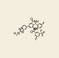 Nc1nc2cc(-c3cc(NC(=O)c4cc(F)cc(C(F)(F)F)c4)c4c(c3)C(=O)NC4c3cc(F)ccc3Cl)ccn2n1